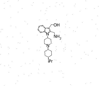 CC(C)[C@H]1CC[C@@H](N2CCC(n3c(CN)c(CO)c4ccccc43)CC2)CC1